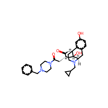 O=C1C[C@]23CCN(CC4CC4)[C@H](Cc4ccc(O)cc42)[C@]3(O)C[C@@H]1CC(=O)N1CCN(Cc2ccccc2)CC1